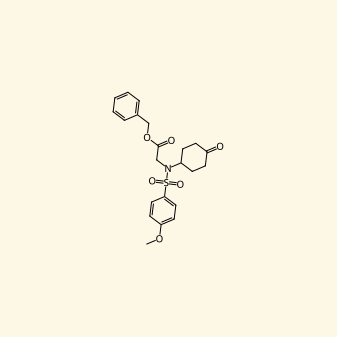 COc1ccc(S(=O)(=O)N(CC(=O)OCc2ccccc2)C2CCC(=O)CC2)cc1